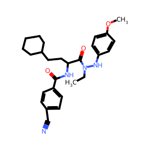 CCN(Nc1ccc(OC)cc1)C(=O)C(CCC1CCCCC1)NC(=O)c1ccc(C#N)cc1